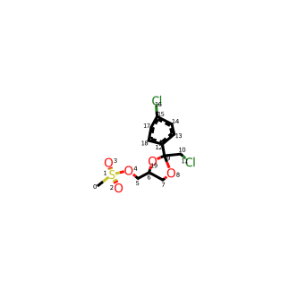 CS(=O)(=O)OCC1COC(CCl)(c2ccc(Cl)cc2)O1